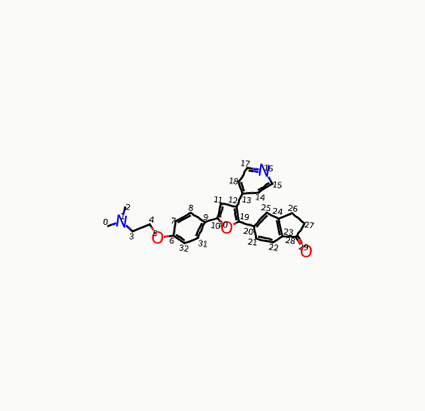 CN(C)CCOc1ccc(-c2cc(-c3ccncc3)c(-c3ccc4c(c3)CCC4=O)o2)cc1